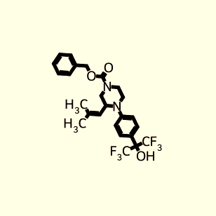 CC(C)=CC1CN(C(=O)OCc2ccccc2)CCN1c1ccc(C(O)(C(F)(F)F)C(F)(F)F)cc1